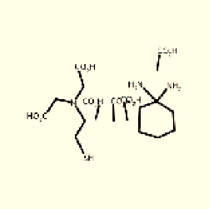 CC(=O)O.CC(=O)O.CC(=O)O.CC(=O)O.NC1(N)CCCCC1.O=C(O)CN(CCS)CC(=O)O